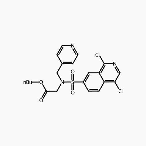 CCCCOC(=O)CN(Cc1ccncc1)S(=O)(=O)c1ccc2c(Cl)cnc(Cl)c2c1